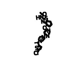 CC(=O)Nc1nc2c(Oc3cc(N4CCN([C@H](C)c5ccc(Cl)s5)CC4)ncn3)cccc2s1